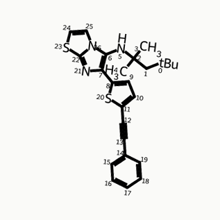 CC(C)(C)CC(C)(C)Nc1c(-c2ccc(C#Cc3ccccc3)s2)nc2sccn12